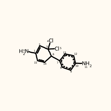 NC1=CC(Cl)(Cl)C(c2ccc(N)cc2)C=C1